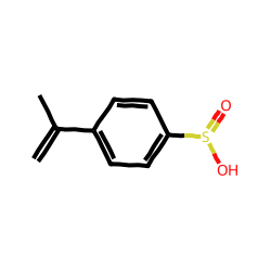 C=C(C)c1ccc(S(=O)O)cc1